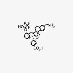 NCc1ccc2c(c1)CCN([C@@H](Cc1ccccc1)C(=O)Nc1ccc(C(=O)O)cc1)C2=O.O=C(O)C(F)(F)F